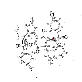 O=C1C(O)=C(c2c[nH]c3cccc(NC(=O)c4ccc(Cl)cc4)c23)C(=O)C(O)=C1c1c[nH]c2cccc(NC(=O)c3ccc(Cl)cc3)c12